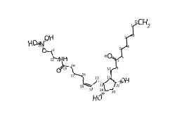 CCCCCCCC(=O)CC[C@@H]1[C@@H](C/C=C\CCCC(=O)NCCON(O)O)[C@@H](O)C[C@H]1O